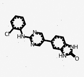 O=c1[nH]c2ccc(-c3cnc(Nc4ccccc4Cl)nc3)cc2[nH]1